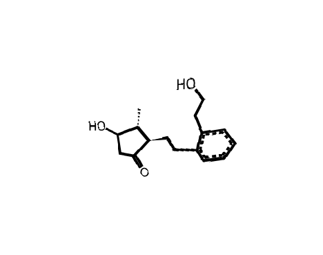 C[C@H]1C(O)CC(=O)[C@@H]1CCc1ccccc1CCO